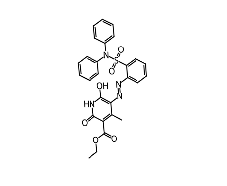 CCOC(=O)c1c(C)c(/N=N/c2ccccc2S(=O)(=O)N(c2ccccc2)c2ccccc2)c(O)[nH]c1=O